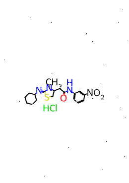 CN1C(=NC2CCCCC2)SCC1CC(=O)Nc1cccc([N+](=O)[O-])c1.Cl